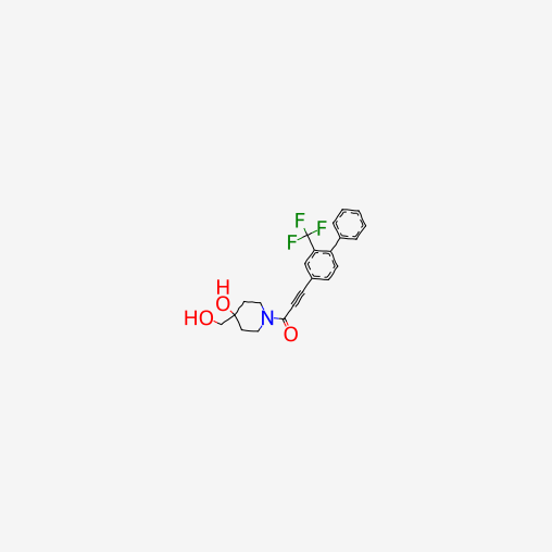 O=C(C#Cc1ccc(-c2ccccc2)c(C(F)(F)F)c1)N1CCC(O)(CO)CC1